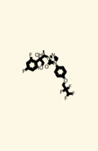 C[C@@H](n1ncn(-c2ccc(OCC(F)(F)C(F)F)cc2)c1=O)[C@@](O)(CO)c1ccc(F)cc1F